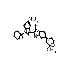 CC1CN(c2ccc3[nH]c(-c4nn(C5CCCCO5)c5ccc([N+](=O)[O-])cc45)nc3c2)CCO1